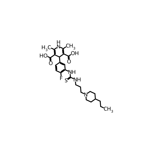 CCCC1CCN(CCCNC(=S)Nc2cc(C3C(C(=O)O)=C(C)NC(C)=C3C(=O)O)ccc2F)CC1